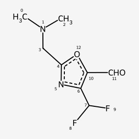 CN(C)Cc1nc(C(F)F)c(C=O)o1